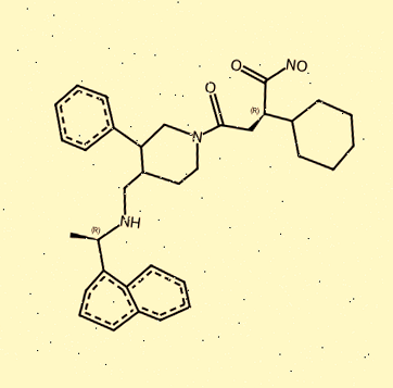 C[C@@H](NCC1CCN(C(=O)C[C@@H](C(=O)N=O)C2CCCCC2)CC1c1ccccc1)c1cccc2ccccc12